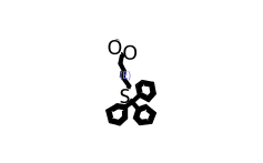 COC(=O)C/C=C/CSC(c1ccccc1)(c1ccccc1)c1ccccc1